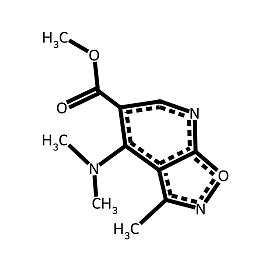 COC(=O)c1cnc2onc(C)c2c1N(C)C